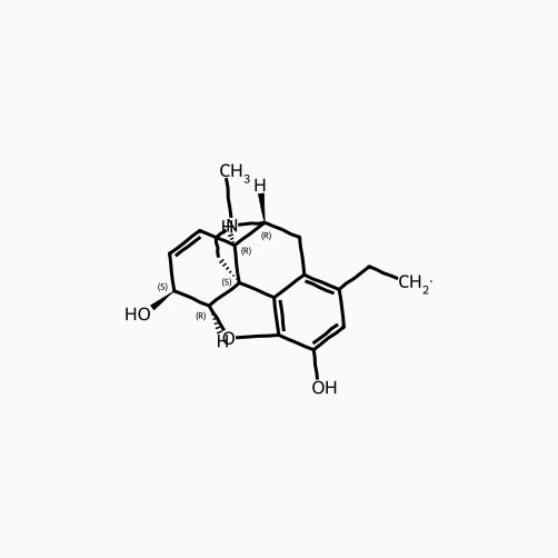 [CH2]Cc1cc(O)c2c3c1C[C@@H]1[C@@H]4C=C[C@H](O)[C@H](O2)[C@]34CCN1C